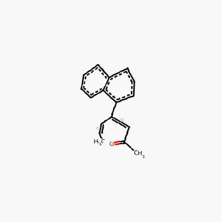 C/C=C\C(=C/C(C)=O)c1cccc2ccccc12